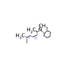 C=C(/C=C\C=C(\C)I)N(C)c1ccccc1